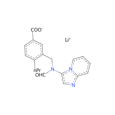 CCCc1ccc(C(=O)[O-])cc1CN(C=O)c1cnc2ccccn12.[Li+]